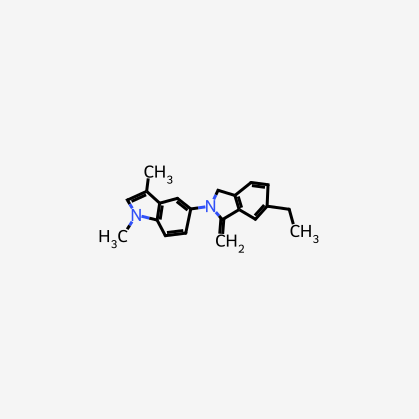 C=C1c2cc(CC)ccc2CN1c1ccc2c(c1)c(C)cn2C